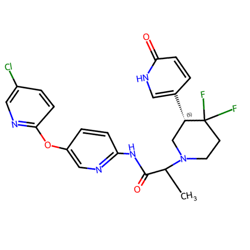 CC(C(=O)Nc1ccc(Oc2ccc(Cl)cn2)cn1)N1CCC(F)(F)[C@@H](c2ccc(=O)[nH]c2)C1